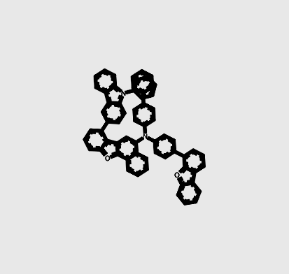 c1ccc(-c2ccc(N(c3ccc(-c4cccc5c4oc4ccccc45)cc3)c3cc4c(oc5cccc(-c6ccc7c(c6)c6ccccc6n7-c6ccccc6)c54)c4ccccc34)cc2)cc1